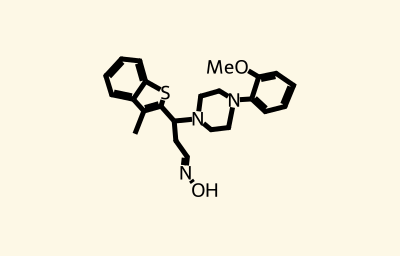 COc1ccccc1N1CCN(C(CC=NO)c2sc3ccccc3c2C)CC1